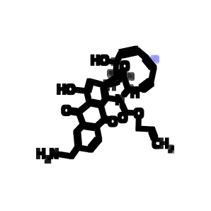 C=CCOC(=O)N1c2c(cc(O)c3c2C(=O)c2ccc(CN)cc2C3=O)[C@@]23O[C@@]2(C(C)C)[C@@H]1C#C/C=C\C#C[C@@H]3O